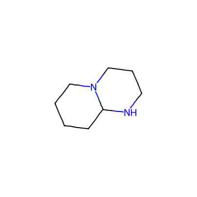 C1CCN2CCCNC2C1